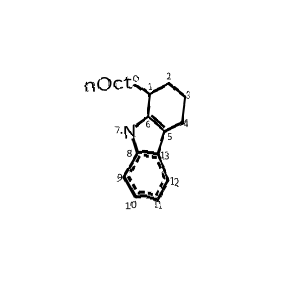 CCCCCCCCC1CCCC2=C1[N]c1ccccc12